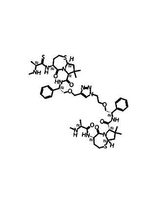 CN[C@@H](C)C(=O)N[C@H]1CCS[C@H]2CC(C)(C)[C@@H](C(=O)N[C@H](COCCn3cc(COC[C@@H](NC(=O)[C@H]4N5C(=O)[C@@H](NC(=S)[C@H](C)NC)CCS[C@H]5CC4(C)C)c4ccccc4)nn3)c3ccccc3)N2C1=O